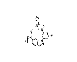 C=NC[C@@]1(c2ccc3cnn(-c4cc(F)nc(N5CCN(C6COC6)[C@@H](C)C5)c4)c3c2)CC12CC2